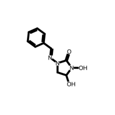 O=C1N(N=Cc2ccccc2)CC(O)N1O